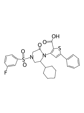 O=C(O)c1sc(-c2ccccc2)cc1N1C(=O)CN(S(=O)(=O)c2cccc(F)c2)CC1C1CCCCC1